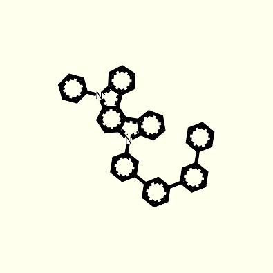 c1ccc(-c2cccc(-c3cccc(-c4cccc(-n5c6ccccc6c6c7c8ccccc8n(-c8ccccc8)c7ccc65)c4)c3)c2)cc1